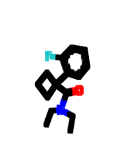 CCN(CC)C(=O)C1(c2ccccc2F)CCC1